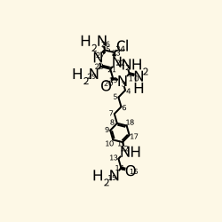 N=C(N)N(CCCCc1ccc(NCC(N)=O)cc1)C(=O)c1nc(Cl)c(N)nc1N